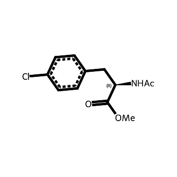 COC(=O)[C@@H](Cc1ccc(Cl)cc1)NC(C)=O